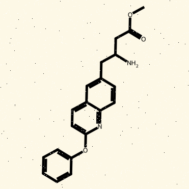 COC(=O)CC(N)Cc1ccc2nc(Oc3ccccc3)ccc2c1